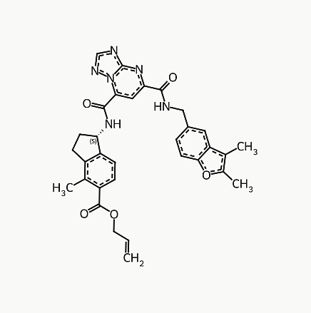 C=CCOC(=O)c1ccc2c(c1C)CC[C@@H]2NC(=O)c1cc(C(=O)NCc2ccc3oc(C)c(C)c3c2)nc2ncnn12